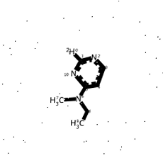 [2H]c1nccc(N(C)CC)n1